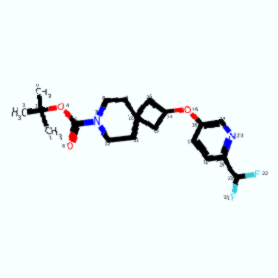 CC(C)(C)OC(=O)N1CCC2(CC1)CC(Oc1ccc(C(F)F)nc1)C2